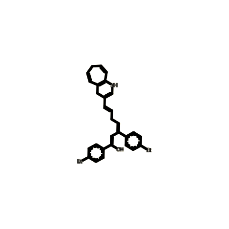 CCc1ccc(/C(O)=C/C(=C\C/C=C/C2=CNC3=C(C=CCC=C3)C2)c2ccc(CC)cc2)cc1